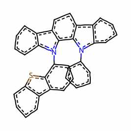 c1ccc(-n2c3ccccc3c3ccc4c5ccccc5n(-c5cccc6c5sc5ccccc56)c4c32)cc1